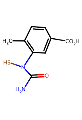 Cc1ccc(C(=O)O)cc1N(S)C(N)=O